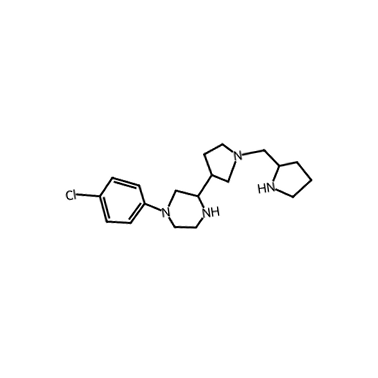 Clc1ccc(N2CCNC(C3CCN(CC4CCCN4)C3)C2)cc1